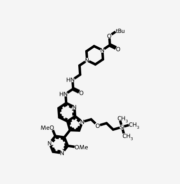 COc1ncnc(OC)c1-c1cn(COCC[Si](C)(C)C)c2nc(NC(=O)NCCN3CCN(C(=O)OC(C)(C)C)CC3)ccc12